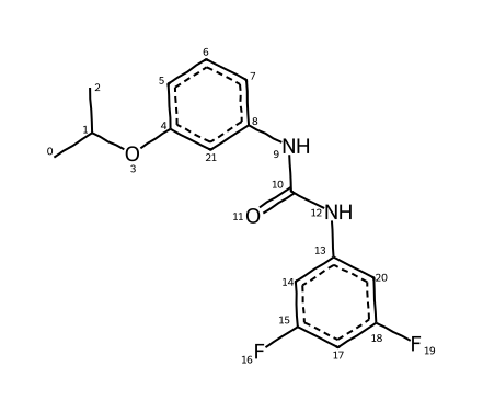 CC(C)Oc1cccc(NC(=O)Nc2cc(F)cc(F)c2)c1